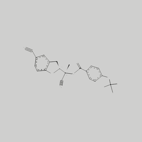 C[C@](C#N)(NC(=O)c1ccc(OC(F)(F)F)cc1)[C@@H]1Cc2cc(C#N)ccc2O1